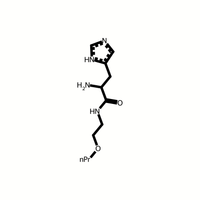 CCCOCCNC(=O)C(N)Cc1cnc[nH]1